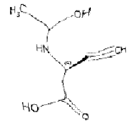 C#C[C@H](NC(C)O)C(=O)O